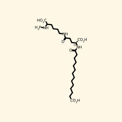 O=C(O)CCCCCCCCCCCCC(=O)N[C@@H](CCC(=O)NCCCCC(NP)C(=O)O)C(=O)O